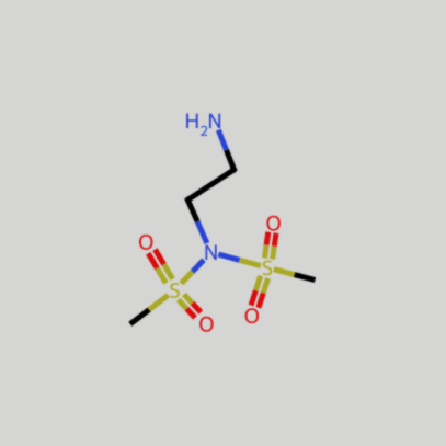 CS(=O)(=O)N(CCN)S(C)(=O)=O